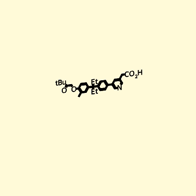 CCC(CC)(c1ccc(-c2cncc(CC(=O)O)c2)cc1)c1ccc(OCC(=O)C(C)(C)C)c(C)c1